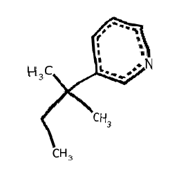 CCC(C)(C)c1cccnc1